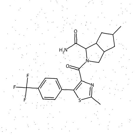 Cc1nc(C(=O)N2CC3CC(C)CC3C2C(N)=O)c(-c2ccc(C(F)(F)F)cc2)s1